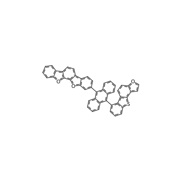 c1ccc2c(c1)oc1c2ccc2c3ccc(-c4c5ccccc5c(-c5cccc6sc7c8ccoc8ccc7c56)c5ccccc45)cc3oc21